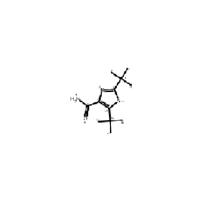 CC(C)(C)c1nc(C(N)=O)c(C(C)(C)C)s1